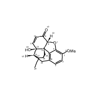 COc1ccc2c3c1O[C@H]1C(=O)C=C[C@@]4(O)[C@@H](C2)C(C)CC[C@]314